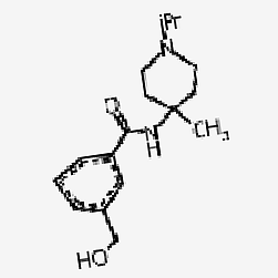 CC(C)N1CCC(C)(NC(=O)c2cccc(CO)c2)CC1